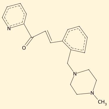 CN1CCN(Cc2ccccc2C=CC(=O)c2ccccn2)CC1